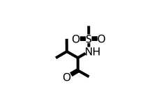 CC(=O)C(NS(C)(=O)=O)C(C)C